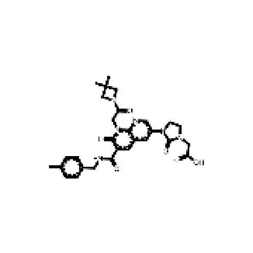 Cc1ccc(CNC(=O)c2cc3cc(N4CCN(CC(=O)O)C4=O)cnc3n(CC(=O)N3CC(C)(C)C3)c2=O)cc1